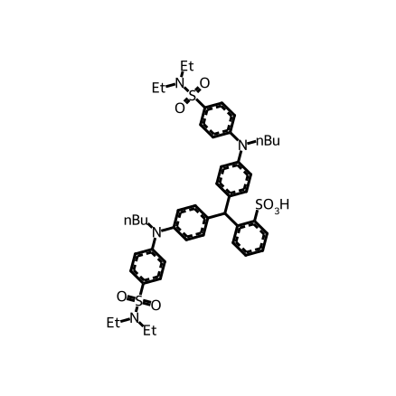 CCCCN(c1ccc(C(c2ccc(N(CCCC)c3ccc(S(=O)(=O)N(CC)CC)cc3)cc2)c2ccccc2S(=O)(=O)O)cc1)c1ccc(S(=O)(=O)N(CC)CC)cc1